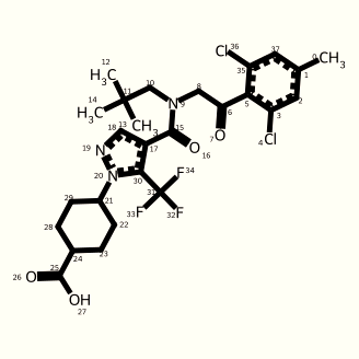 Cc1cc(Cl)c(C(=O)CN(CC(C)(C)C)C(=O)c2cnn(C3CCC(C(=O)O)CC3)c2C(F)(F)F)c(Cl)c1